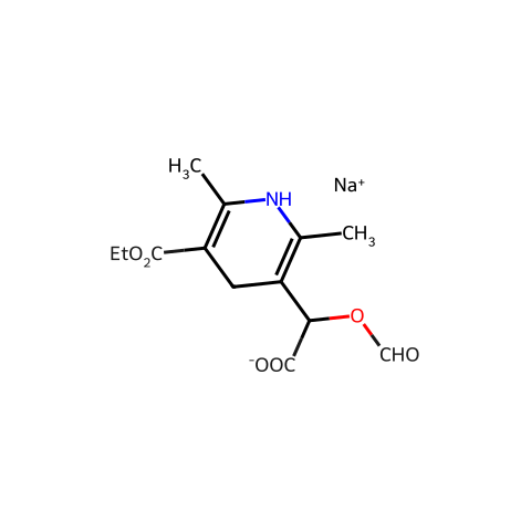 CCOC(=O)C1=C(C)NC(C)=C(C(OC=O)C(=O)[O-])C1.[Na+]